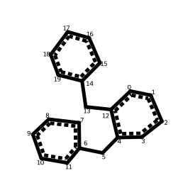 [c]1cccc(Cc2ccccc2)c1Cc1ccccc1